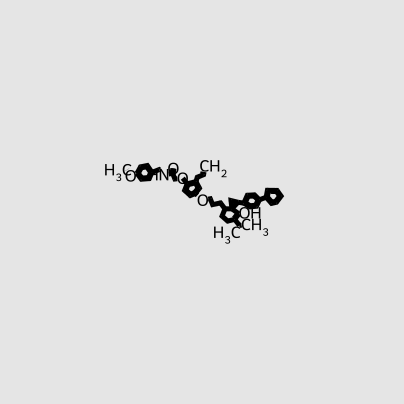 C=CCc1cc(OCCCC2CCC(C(C)C)=C(O)C23CC3c2ccc(-c3ccccc3)cc2)ccc1OCC(=O)NCc1ccc(OC)cc1